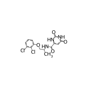 CC(COc1cccc(Cl)c1Cl)NC(=O)c1cc(=O)[nH]c(=O)[nH]1